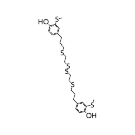 CSc1cc(CCCSCCSSCCSCCCc2ccc(O)c(SC)c2)ccc1O